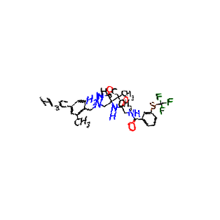 Cc1ccc(CNCC(NC(=O)CNC(=O)c2cccc(SC(F)(F)F)c2)(C(N)=O)C(C)(C)C)c(C)c1